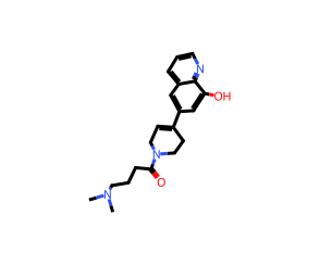 CN(C)CCCC(=O)N1CC=C(c2cc(O)c3ncccc3c2)CC1